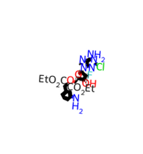 CCOC(=O)C(Cc1cccc(N)c1)(OC[C@H]1O[C@@H](n2cnc3c(N)nc(Cl)nc32)[C@@H](F)[C@@H]1O)C(=O)OCC